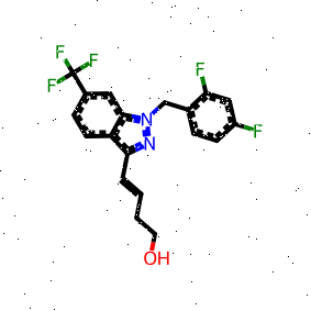 OCCC=Cc1nn(Cc2ccc(F)cc2F)c2cc(C(F)(F)F)ccc12